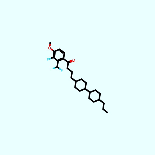 CCCC1CCC(C2CCC(CCCC(=O)c3ccc(OC)c(F)c3C(F)F)CC2)CC1